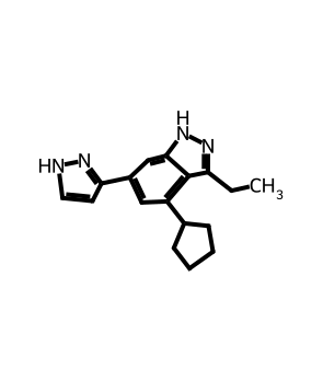 CCc1n[nH]c2cc(-c3cc[nH]n3)cc(C3CCCC3)c12